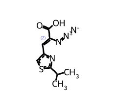 CC(C)c1nc(/C=C(\N=[N+]=[N-])C(=O)O)cs1